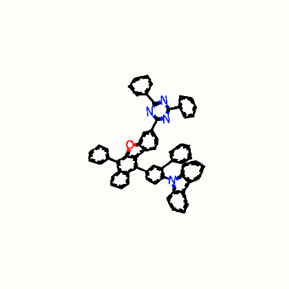 c1ccc(-c2nc(-c3ccccc3)nc(-c3ccc4c(c3)oc3c(-c5ccccc5)c5ccccc5c(-c5ccc(-n6c7ccccc7c7ccccc76)c(-c6ccccc6)c5)c34)n2)cc1